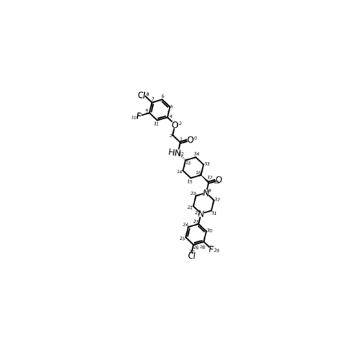 O=C(COc1ccc(Cl)c(F)c1)N[C@H]1CC[C@H](C(=O)N2CCN(c3ccc(Cl)c(F)c3)CC2)CC1